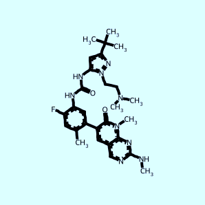 CNc1ncc2cc(-c3cc(NC(=O)Nc4cc(C(C)(C)C)nn4CCN(C)C)c(F)cc3C)c(=O)n(C)c2n1